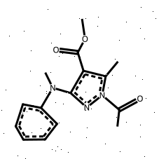 COC(=O)c1c(N(C)c2ccccc2)nn(C(C)=O)c1C